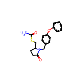 NC(=O)SCC1CCC(=O)N1Cc1ccc(Oc2ccccc2)cc1